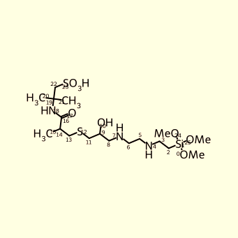 CO[Si](CCNCCNCC(O)CSCC(C)C(=O)NC(C)(C)CS(=O)(=O)O)(OC)OC